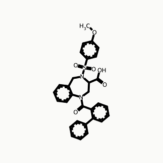 COc1ccc(S(=O)(=O)N2Cc3ccccc3N(C(=O)c3ccccc3-c3ccccc3)CC2C(=O)O)cc1